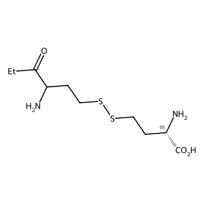 CCC(=O)C(N)CCSSCC[C@H](N)C(=O)O